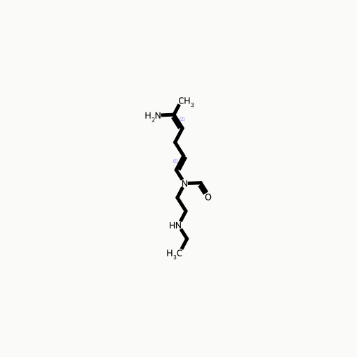 CCNCCN(C=O)/C=C/C/C=C(/C)N